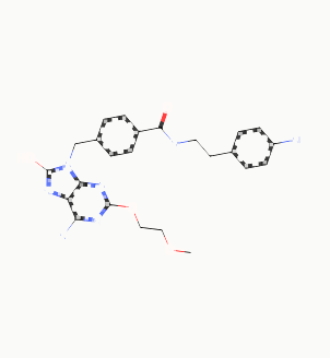 COCCOc1nc(N)c2nc(O)n(Cc3ccc(C(=O)NCCc4ccc(N)cc4)cc3)c2n1